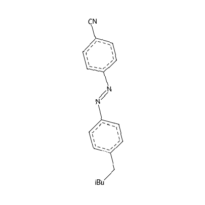 CCC(C)Cc1ccc(N=Nc2ccc(C#N)cc2)cc1